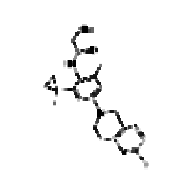 Cc1cc(N2CCc3cc(F)ccc3C2)cc(C2(C)CC2)c1NC(=O)CC(C)(C)C